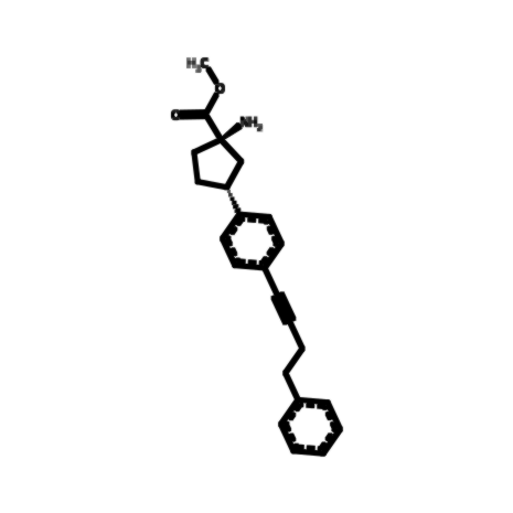 COC(=O)[C@@]1(N)CC[C@@H](c2ccc(C#CCCc3ccccc3)cc2)C1